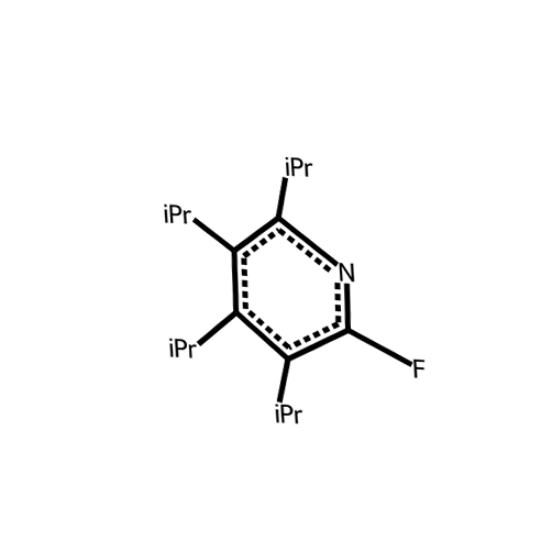 CC(C)c1nc(F)c(C(C)C)c(C(C)C)c1C(C)C